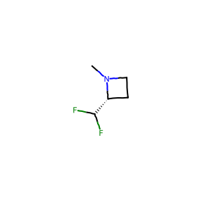 CN1CC[C@@H]1C(F)F